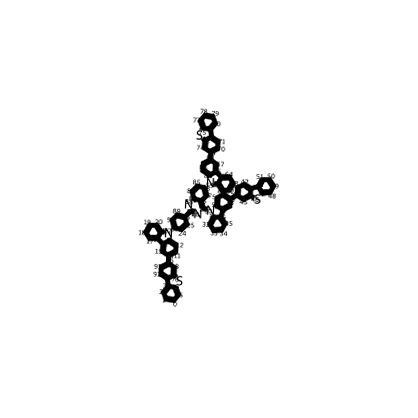 c1ccc2c(c1)sc1cc(-c3ccc4c(c3)c3ccccc3n4-c3ccc(-c4nc(-n5c6ccccc6c6cc(-c7ccc8c(c7)sc7ccccc78)ccc65)c5cc(-n6c7ccccc7c7cc(-c8ccc9c(c8)sc8ccccc89)ccc76)ccc5n4)cc3)ccc12